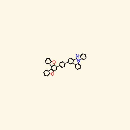 c1ccc2c(c1)nc1c3ccc(-c4ccc(-c5cc6oc7ccccc7c6c6c5oc5ccccc56)cc4)cc3c3ccccc3n21